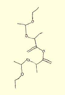 C=C(OC(=C)C(C)OC(C)OCC)C(C)OC(C)OCC